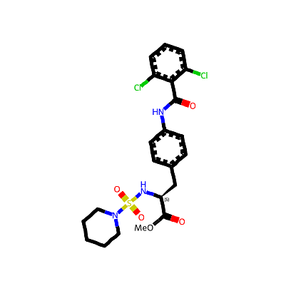 COC(=O)[C@H](Cc1ccc(NC(=O)c2c(Cl)cccc2Cl)cc1)NS(=O)(=O)N1CCCCC1